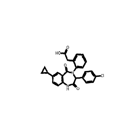 O=C(O)Cc1ccccc1N1C(=O)c2cc(C3CC3)ccc2NC(=O)C1c1ccc(Cl)cc1